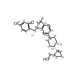 Cc1nn([C@H](C)c2ccc(Cl)cc2Cl)c2nc(N3CC[C@@H](N4CCC[C@H]4CO)[C@@H](C)C3)cnc12